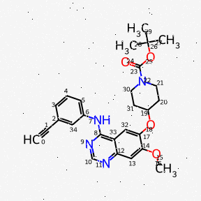 C#Cc1cccc(Nc2ncnc3cc(OC)c(OC4CCN(C(=O)OC(C)(C)C)CC4)cc23)c1